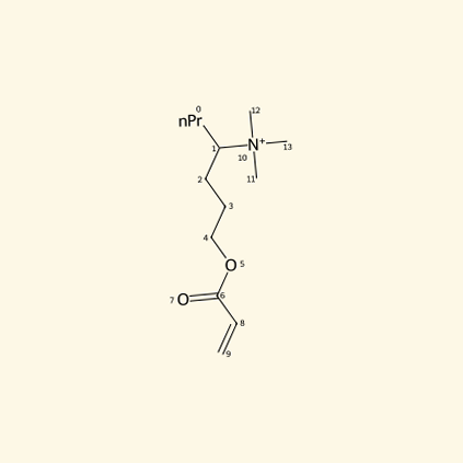 [CH2]CCC(CCCOC(=O)C=C)[N+](C)(C)C